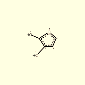 [CH]c1ccoc1O